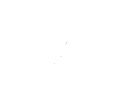 C1=NCCc2cnccc21